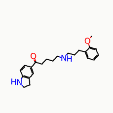 COc1ccccc1CCCNCCCCC(=O)c1ccc2c(c1)CCN2